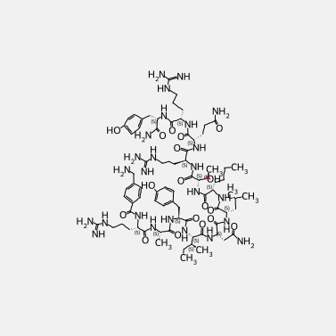 CCCC[C@H](NC(=O)[C@H](CC(C)C)NC(=O)[C@H](CC(N)=O)NC(=O)[C@@H](NC(=O)[C@H](Cc1ccc(O)cc1)NC(=O)[C@H](C)NC(=O)[C@H](CCCNC(=N)N)NC(=O)c1ccc(CN)cc1)[C@@H](C)CC)C(=O)N[C@H](C(=O)N[C@@H](CCCNC(=N)N)C(=O)N[C@@H](CCC(N)=O)C(=O)N[C@@H](CCCNC(=N)N)C(=O)N[C@@H](Cc1ccc(O)cc1)C(N)=O)[C@@H](C)O